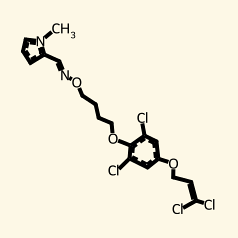 Cn1cccc1C=NOCCCCOc1c(Cl)cc(OCC=C(Cl)Cl)cc1Cl